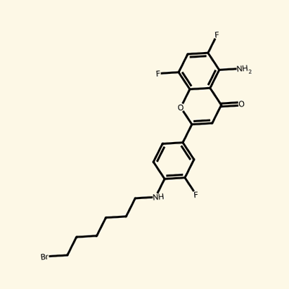 Nc1c(F)cc(F)c2oc(-c3ccc(NCCCCCCBr)c(F)c3)cc(=O)c12